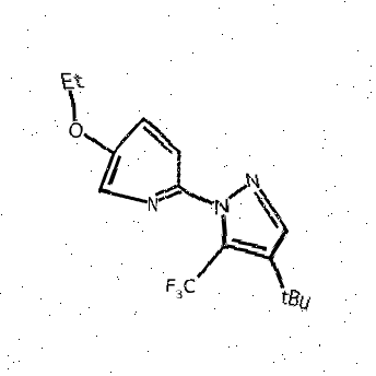 CCOc1ccc(-n2ncc(C(C)(C)C)c2C(F)(F)F)nc1